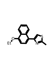 CCOc1ccc(-c2csc(C)n2)c2ccccc12